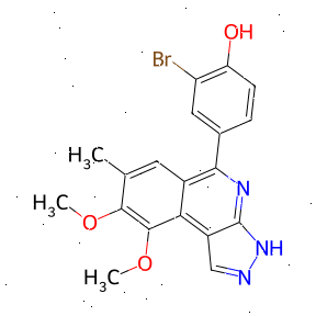 COc1c(C)cc2c(-c3ccc(O)c(Br)c3)nc3[nH]ncc3c2c1OC